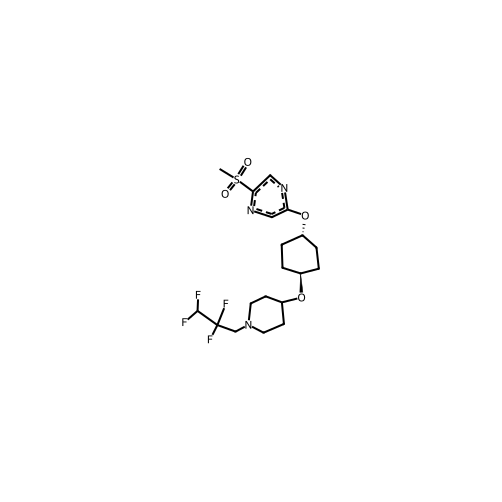 CS(=O)(=O)c1cnc(O[C@H]2CC[C@H](OC3CCN(CC(F)(F)C(F)F)CC3)CC2)cn1